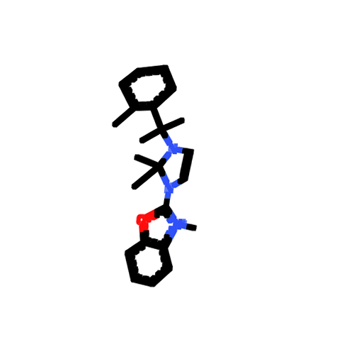 Cc1ccccc1C(C)(C)N1C=CN(c2oc3ccccc3[n+]2C)C1(C)C